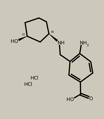 Cl.Cl.Nc1ccc(C(=O)O)cc1CN[C@@H]1CCC[C@H](O)C1